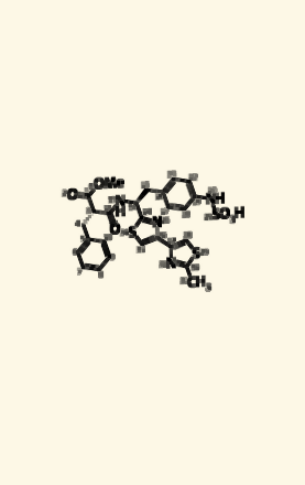 COC(=O)[C@@H](Cc1ccccc1)C(=O)N[C@@H](Cc1ccc(NS(=O)(=O)O)cc1)c1nc(-c2csc(C)n2)cs1